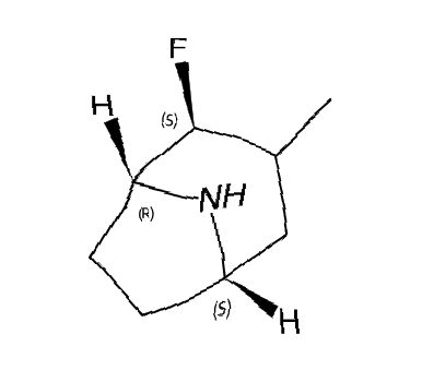 CC1C[C@@H]2CC[C@@H](N2)[C@H]1F